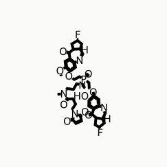 COc1cc2c(cc1OCCP(=O)(CCOc1cc3c(cc1O)C(=O)C1C[C@@H](F)C[C@H]1C=N3)N(C)CCCN(C)C(=O)CCCN1C(=O)C=CC1=O)N=C[C@@H]1C[C@H](F)CC1C2=O